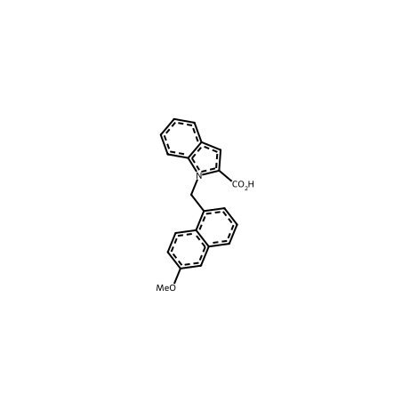 COc1ccc2c(Cn3c(C(=O)O)cc4ccccc43)cccc2c1